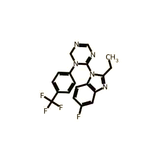 CCc1nc2cc(F)ccc2n1C1=NC=NCN1c1ccc(C(F)(F)F)cc1